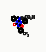 CCN(Cc1ccccc1)c1nc(=O)n(Cc2ccc(C(F)(F)F)cc2)c(=O)n1-c1cccc(C(=O)O)c1